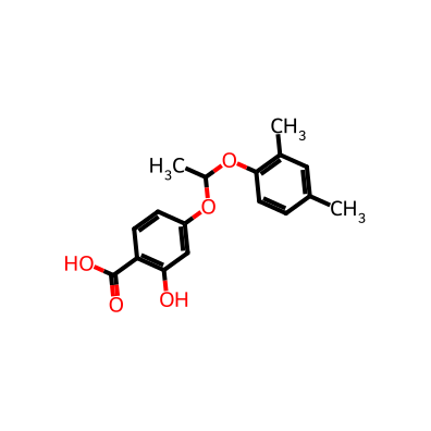 Cc1ccc(OC(C)Oc2ccc(C(=O)O)c(O)c2)c(C)c1